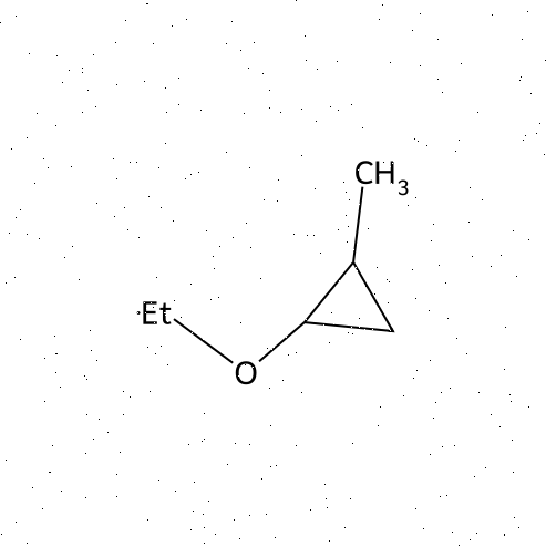 C[CH]OC1CC1C